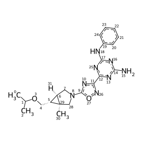 CC(C)OC[C@@H]1[C@H]2CN(c3nc(-c4nc(N)nc(Nc5ccccc5)n4)no3)C[C@@]12C